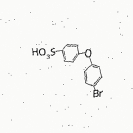 O=S(=O)(O)c1ccc(Oc2ccc(Br)cc2)cc1